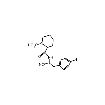 N#C[C@H](Cc1ccc(I)cc1)NC(=O)C1CCCCN1C(=O)O